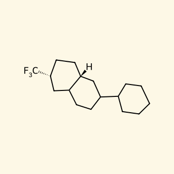 FC(F)(F)[C@@H]1CC[C@@H]2CC(C3CCCCC3)CCC2C1